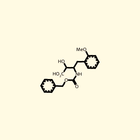 COc1ccccc1CC(NC(=O)OCc1ccccc1)C(O)C(=O)O